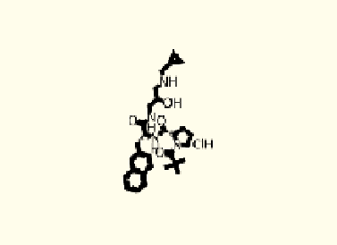 CC(C)(C)C(=O)N1CCC[C@H]1C(=O)N[C@H](Cc1ccc2ccccc2c1)C(=O)NCC(O)CNCC1CC1.Cl